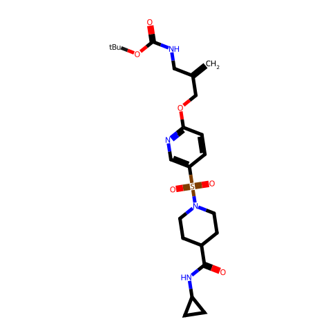 C=C(CNC(=O)OC(C)(C)C)COc1ccc(S(=O)(=O)N2CCC(C(=O)NC3CC3)CC2)cn1